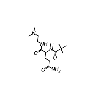 CN(C)CCNC(=O)C(CCC(N)=O)NC(=O)C(C)(C)C